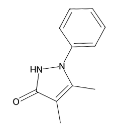 Cc1c(C)n(-c2ccccc2)[nH]c1=O